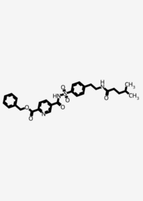 CC(C)CCC(=O)NCCc1ccc(S(=O)(=O)NC(=O)c2ccc(C(=O)OCc3ccccc3)nc2)cc1